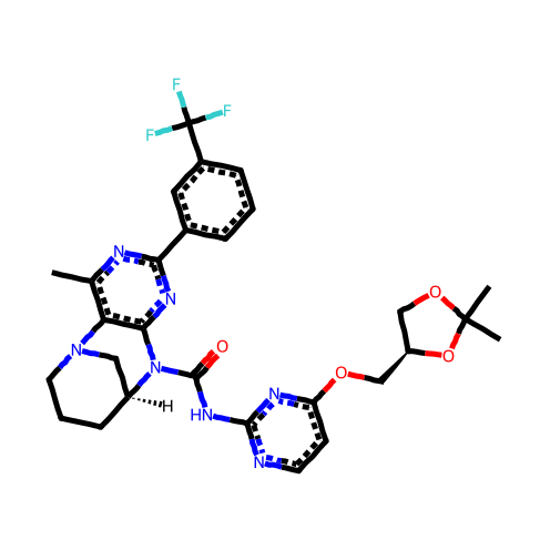 Cc1nc(-c2cccc(C(F)(F)F)c2)nc2c1N1CCC[C@@H](C1)N2C(=O)Nc1nccc(OC[C@H]2COC(C)(C)O2)n1